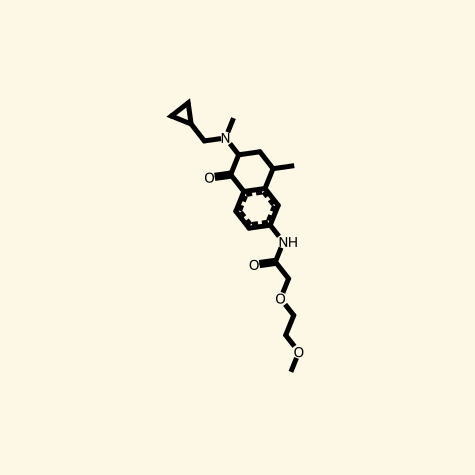 COCCOCC(=O)Nc1ccc2c(c1)C(C)CC(N(C)CC1CC1)C2=O